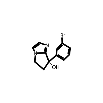 O[C@]1(c2cccc(Br)c2)CCn2ccnc21